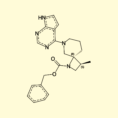 C[C@H]1CN(C(=O)OCc2ccccc2)[C@]12CCCN(c1ncnc3[nH]ccc13)C2